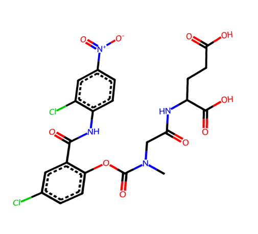 CN(CC(=O)NC(CCC(=O)O)C(=O)O)C(=O)Oc1ccc(Cl)cc1C(=O)Nc1ccc([N+](=O)[O-])cc1Cl